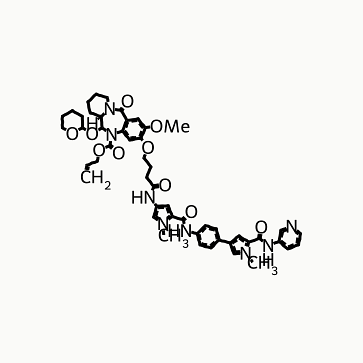 C=CCOC(=O)N1c2cc(OCCCC(=O)Nc3cc(C(=O)Nc4ccc(-c5cc(C(=O)Nc6cccnc6)n(C)c5)cc4)n(C)c3)c(OC)cc2C(=O)N2CCCC[C@H]2C1OC1CCCCO1